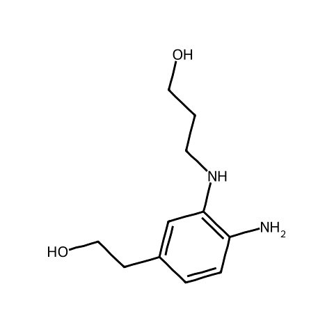 Nc1ccc(CCO)cc1NCCCO